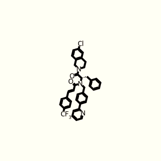 O=C([C@H](Cc1ccccc1)N(Cc1ccc(-c2ccccn2)cc1)C(=O)C=Cc1ccc(C(F)(F)F)cc1)N1CCc2cc(Cl)ccc2C1